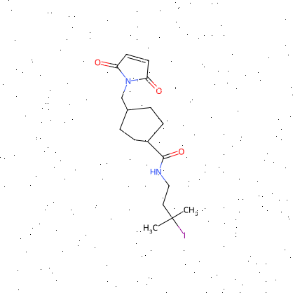 CC(C)(I)CCNC(=O)C1CCC(CN2C(=O)C=CC2=O)CC1